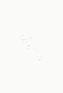 C[C@@H]1CCC[C@@H](N2CCC(c3c(F)ccc(Cl)c3F)=CC2=O)c2c[nH]c(n2)-c2ccc(NC(=O)O)cc2NC1=O